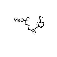 COC(=O)CCCC1OC1c1cccc(Br)n1